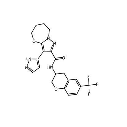 O=C(NC1COc2ccc(C(F)(F)F)cc2C1)c1nn2c(c1-c1ccn[nH]1)OCCCC2